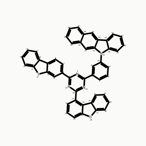 c1cc(-c2nc(-c3ccc4c(c3)sc3ccccc34)nc(-c3cccc4oc5ccccc5c34)n2)cc(-n2c3ccccc3c3cc4ccccc4cc32)c1